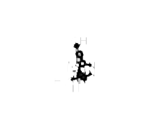 CCNc1nc(Nc2cc(C#N)cc(N3CCN([C@H]4C[C@H](O)C4)CC3)c2Cl)nn2c(C#N)cnc12